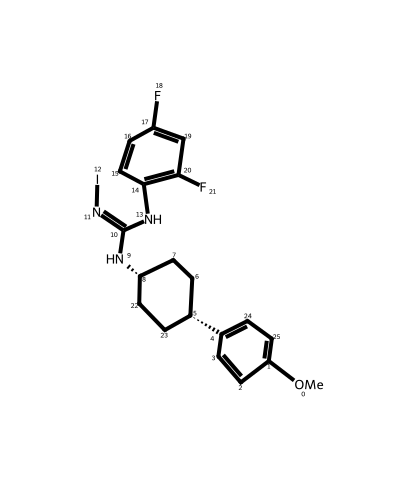 COc1ccc([C@H]2CC[C@@H](N/C(=N/I)Nc3ccc(F)cc3F)CC2)cc1